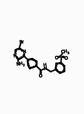 CS(=O)(=O)c1cccc(CNC(=O)c2ccc(-c3nc(Br)cnc3N)cc2)c1